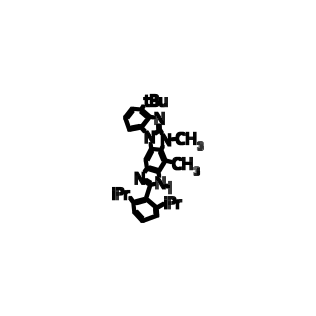 Cc1c2c(cc3c1n(C)c1nc4c(C(C)(C)C)cccc4n31)nc(-c1c(C(C)C)cccc1C(C)C)n2I